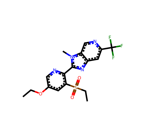 CCOc1cnc(-c2nc3cc(C(F)(F)F)ncc3n2C)c(S(=O)(=O)CC)c1